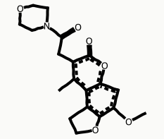 COc1cc2oc(=O)c(CC(=O)N3CCOCC3)c(C)c2c2c1OCC2